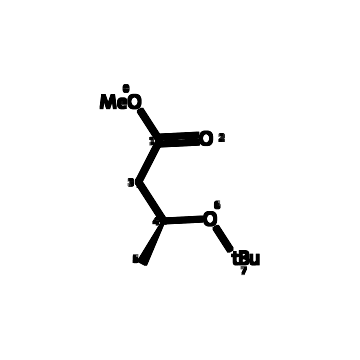 COC(=O)[CH][C@H](C)OC(C)(C)C